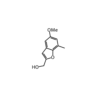 COc1cc(C)c2oc(CO)cc2c1